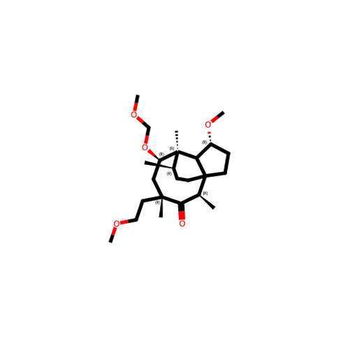 COCC[C@]1(C)C[C@@H](OCOC)[C@@]2(C)C3[C@H](OC)CCC3(CC[C@H]2C)[C@@H](C)C1=O